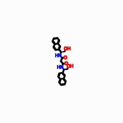 O=C(CC(=O)N[C@@H](CO)c1ccc2ccccc2c1)N[C@@H](CO)c1ccc2ccccc2c1